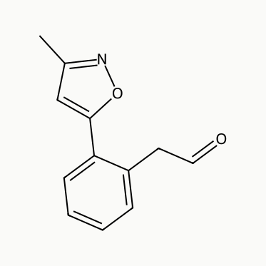 Cc1cc(-c2ccccc2CC=O)on1